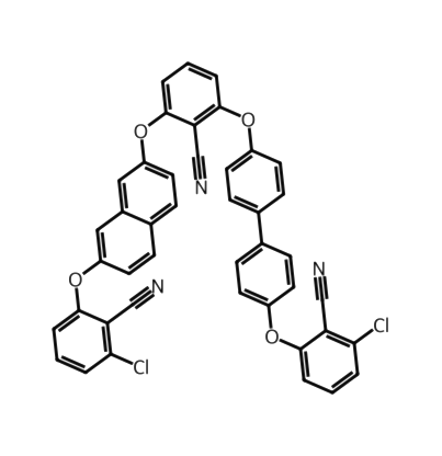 N#Cc1c(Cl)cccc1Oc1ccc(-c2ccc(Oc3cccc(Oc4ccc5ccc(Oc6cccc(Cl)c6C#N)cc5c4)c3C#N)cc2)cc1